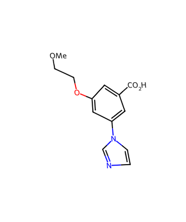 COCCOc1cc(C(=O)O)cc(-n2ccnc2)c1